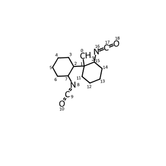 CC1(C2CCCCC2N=C=O)CCCCC1N=C=O